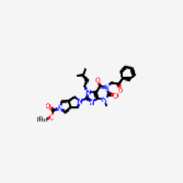 CC(C)=CCn1c(N2CC3CN(C(=O)OC(C)(C)C)CC3C2)nc2c1c(=O)n(CC(=O)c1ccccc1)c(=O)n2C